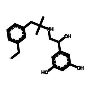 [CH2]Cc1cccc(CC(C)(C)NCC(O)c2cc(O)cc(O)c2)c1